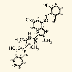 Cc1nc2c(OCc3c(F)cccc3F)cc(Cl)cn2c1C(=O)NC(C)[C@H](C)N(Cc1ccccc1)C(=O)O